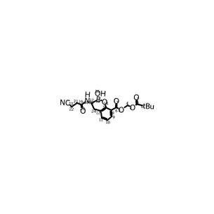 CC(C)(C)C(=O)OCOC(=O)c1cccc2c1OB(O)[C@@H](NC(=O)CCC#N)C2